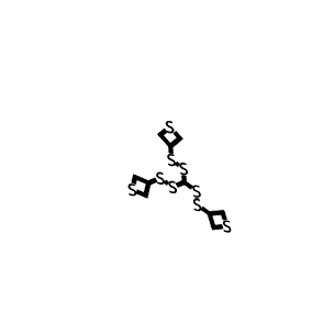 C1SCC1SSC(SSC1CSC1)SSC1CSC1